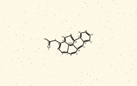 CC(=O)Cc1ccc2ccc3cc4ccccc4c4ccc1c2c34